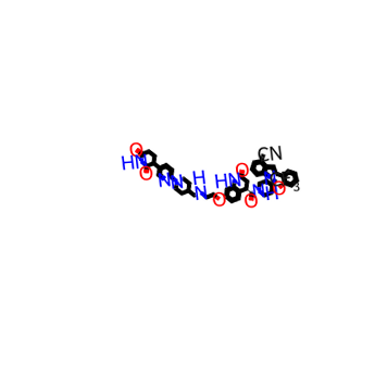 N#Cc1cccc2[nH]c(-c3ccccc3OC3(C(F)(F)F)CCN(C(=O)[C@H]4CC(=O)Nc5cc(OCCNCC6CCN(c7ccc(C8CCC(=O)NC8=O)cn7)CC6)ccc54)CC3)cc12